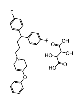 Fc1ccc(C(CCCN2CC=C(Oc3ccccc3)CC2)c2ccc(F)cc2)cc1.O=C(O)C(O)C(O)C(=O)O